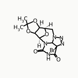 CC1(C)OC2[C@@H](O1)[C@H]1CN3N=NC4(Br)C(=O)NC(=O)N(C34)[C@@H]2O1